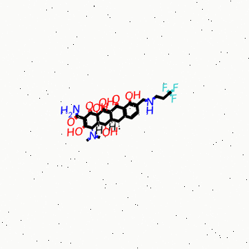 C[C@H]1c2ccc(CNCCC(F)(F)F)c(O)c2C(=O)C2=C(O)[C@]3(O)C(=O)C(C(N)=O)=C(O)[C@@H](N(C)C)[C@@H]3[C@@H](O)[C@@H]21